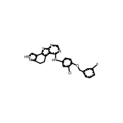 Fc1cccc(COc2ccc(Nc3ncnc4sc5c(c34)CCc3n[nH]cc3-5)cc2Cl)c1